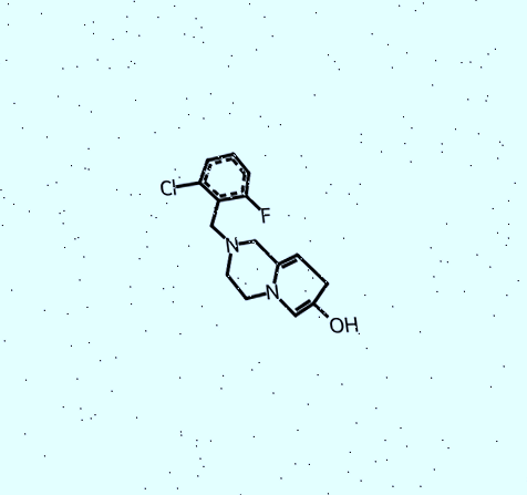 OC1=CN2CCN(Cc3c(F)cccc3Cl)CC2=CC1